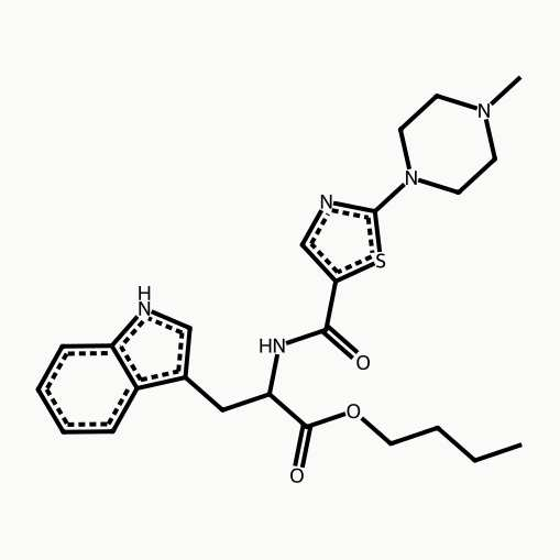 CCCCOC(=O)C(Cc1c[nH]c2ccccc12)NC(=O)c1cnc(N2CCN(C)CC2)s1